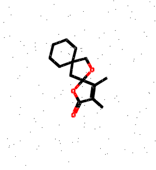 CC1=C(C)C2(CC3(CCCCC3)CO2)OC1=O